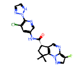 CC1(C)C[C@H](C(=O)Nc2cnc(-n3nccn3)c(Cl)c2)c2cnc3c(F)cnn3c21